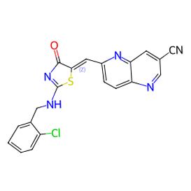 N#Cc1cnc2ccc(/C=C3\SC(NCc4ccccc4Cl)=NC3=O)nc2c1